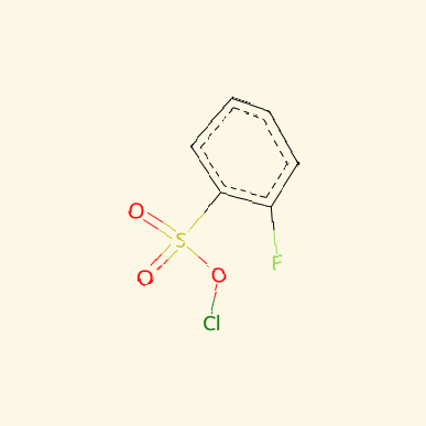 O=S(=O)(OCl)c1ccccc1F